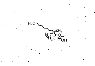 CCCCCCCC[N+](C)(C)C(C)OS(=O)(=O)O.[Br-]